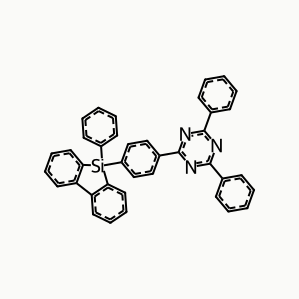 c1ccc(-c2nc(-c3ccccc3)nc(-c3ccc([Si]4(c5ccccc5)c5ccccc5-c5ccccc54)cc3)n2)cc1